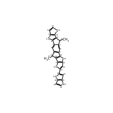 CC1c2cc3c(cc2-c2sc4ccsc4c21)C(C)c1c-3sc2cc(-c3cc4sccc4s3)sc12